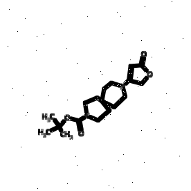 CC(C)(C)OC(=O)N1CCC2(CC1)CCN(C1=CC(=O)OC1)CC2